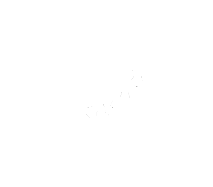 Cc1ccc(S(=O)(=O)N=Cc2cc(-c3cccc(Cl)c3)cs2)cc1